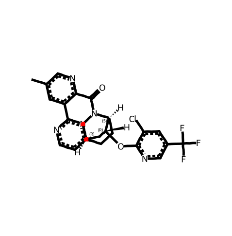 Cc1cnc(C(=O)N2C[C@@H]3CC[C@H]2[C@H](Oc2ncc(C(F)(F)F)cc2Cl)C3)c(-c2ncccn2)c1